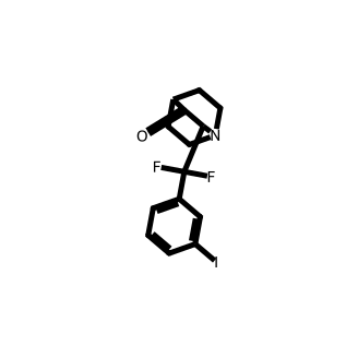 O=C1C2CCN(CC2)C1C(F)(F)c1cccc(I)c1